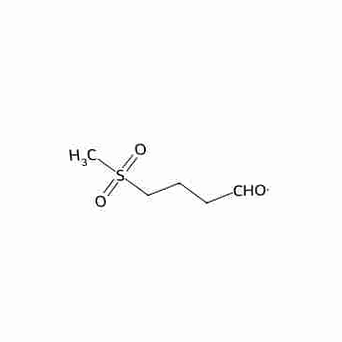 CS(=O)(=O)CCC[C]=O